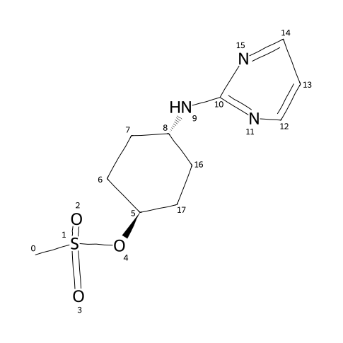 CS(=O)(=O)O[C@H]1CC[C@H](Nc2ncccn2)CC1